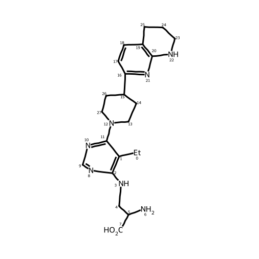 CCc1c(NCC(N)C(=O)O)ncnc1N1CCC(c2ccc3c(n2)NCCC3)CC1